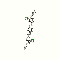 CCCCCc1ccc(CCc2ccc(CCc3ccc(CCCCC)c(Cl)c3)cc2)cc1Cl